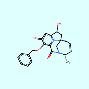 C[C@H]1C=CC[C@]23CC(O)c4cc(=O)c(OCc5ccccc5)c(n42)C(=O)N1C3